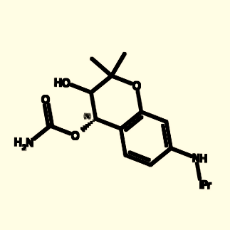 CC(C)Nc1ccc2c(c1)OC(C)(C)C(O)[C@H]2OC(N)=O